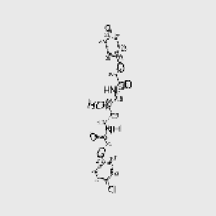 O=C(COc1ccc(Cl)cc1)NCC[C@H](O)CNC(=O)COc1ccc(Cl)cc1